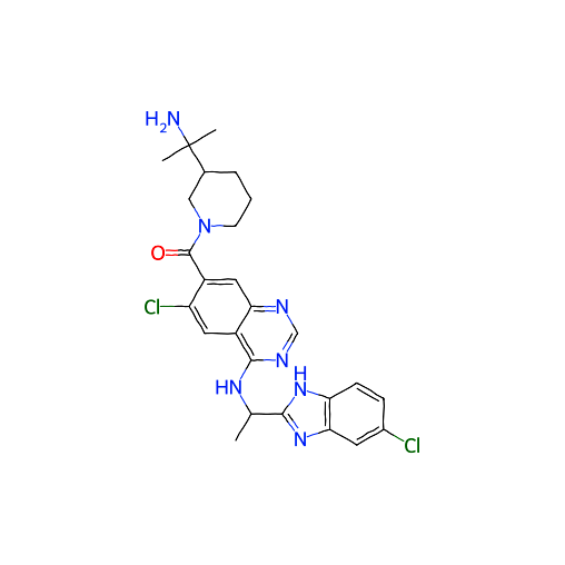 CC(Nc1ncnc2cc(C(=O)N3CCCC(C(C)(C)N)C3)c(Cl)cc12)c1nc2cc(Cl)ccc2[nH]1